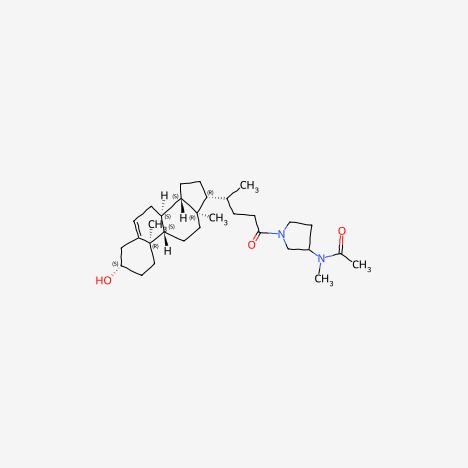 CC(=O)N(C)C1CCN(C(=O)CCC(C)[C@H]2CC[C@H]3[C@@H]4CC=C5C[C@@H](O)CC[C@]5(C)[C@H]4CC[C@]23C)C1